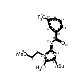 COCCn1c(C)c(C(C)(C)C)s/c1=N\C(=O)c1cccc(C(F)(F)F)c1